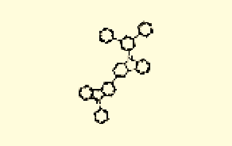 C1=CC2C(C=C1c1ccc3c(c1)c1ccccc1n3-c1ccccc1)c1ccccc1N2c1cc(-c2ccccc2)cc(-c2ccccc2)c1